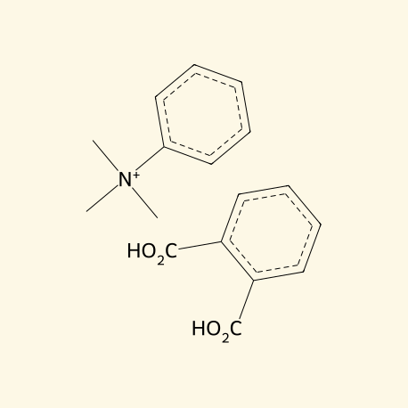 C[N+](C)(C)c1ccccc1.O=C(O)c1ccccc1C(=O)O